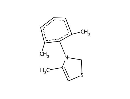 CC1=CSCN1c1c(C)cccc1C